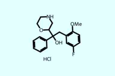 COc1ccc(F)cc1CC(O)(c1ccccc1)C1CNCCO1.Cl